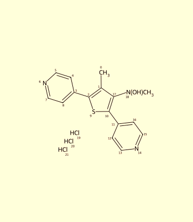 Cc1c(-c2ccncc2)sc(-c2ccncc2)c1N(C)O.Cl.Cl.Cl